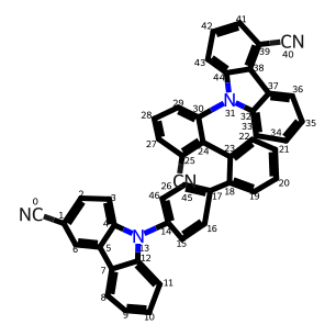 N#Cc1ccc2c(c1)c1ccccc1n2-c1ccc(-c2ccccc2-c2c(C#N)cccc2-n2c3ccccc3c3c(C#N)cccc32)cc1